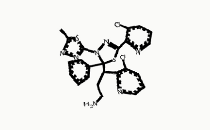 Cc1nnc(N2N=C(c3ncccc3Cl)SC2(c2ccccc2)C(CCN)c2ncccc2Cl)s1